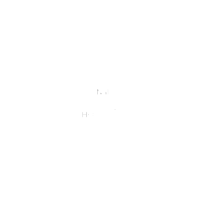 CCC(C)(C)[CH]O.[NaH]